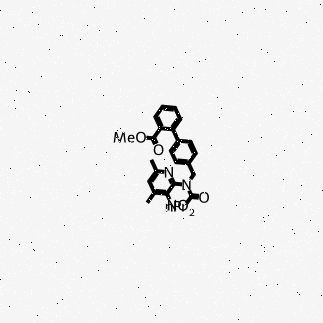 CCCC(=O)N(Cc1ccc(-c2ccccc2C(=O)OC)cc1)c1nc(C)cc(C)c1[N+](=O)[O-]